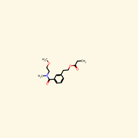 CCC(=O)OCCc1cccc(C(=O)N(C)CCOC)c1